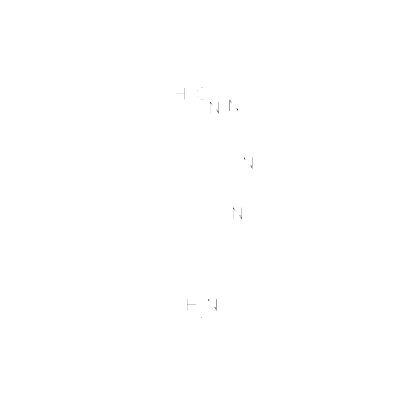 Cn1cc(-c2cc3cc(-c4ccccc4)c(-c4ccc(C5(N)CCC5)cc4)nc3cn2)cn1